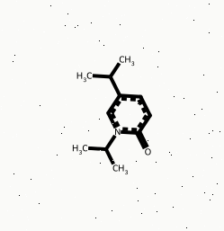 CC(C)c1ccc(=O)n(C(C)C)c1